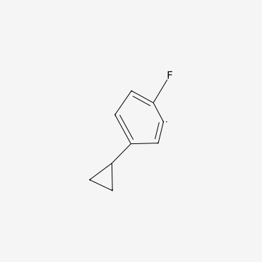 Fc1[c]cc(C2CC2)cc1